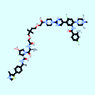 Cc1ncsc1-c1ccc([C@H](C)NC(=O)[C@@H]2C[C@@H](O)CN2C(=O)[C@@H](NC(=O)COCC(C)(C)CCOCC(=O)N2CCN(c3ncc(-c4cc(NC(=O)c5ccc(F)cc5C(F)(F)F)c(N5C[C@@H](C)N(C)[C@@H](C)C5)cc4F)cn3)CC2)C(C)(C)C)cc1